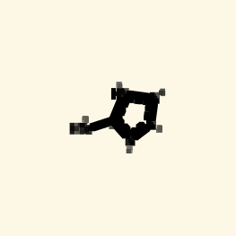 [TeH]c1nnn[nH]1